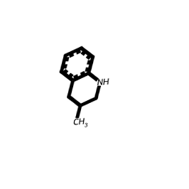 CC1CNc2ccccc2C1